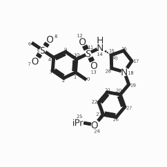 Cc1ccc(S(C)(=O)=O)cc1S(=O)(=O)N[C@@H]1CCN(Cc2ccc(OC(C)C)cc2)C1